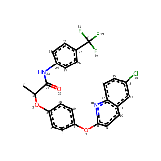 CC(Oc1ccc(Oc2ccc3cc(Cl)ccc3n2)cc1)C(=O)Nc1ccc(C(F)(F)F)cc1